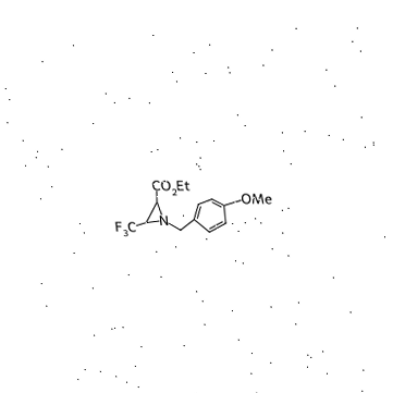 CCOC(=O)C1C(C(F)(F)F)N1Cc1ccc(OC)cc1